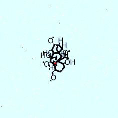 CCN1C[C@]2(COC)CC[C@H](O)[C@]34C1[C@](O)([C@@H](OC)[C@H]23)[C@@]1(O)C[C@H](OC)[C@H]2C[C@@H]4[C@@H]1[C@H]2OC